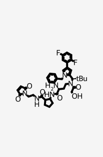 CC(C)(C)[C@H](c1cc(-c2cc(F)ccc2F)cn1Cc1ccccc1)N(CC[C@H](N)C(=O)NC1CCCC1C(=O)NCCN1C(=O)C=CC1=O)C(=O)CO